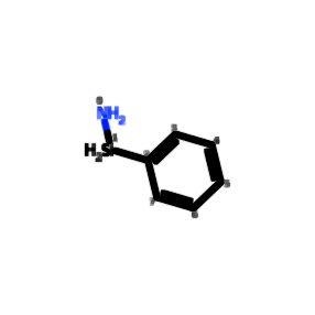 N[SiH2]c1ccccc1